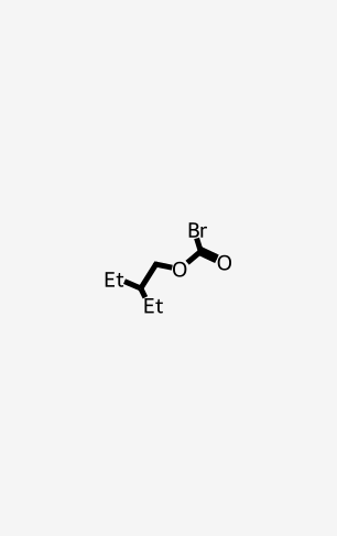 CCC(CC)COC(=O)Br